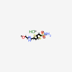 COCCNCc1cc2sc(S(N)(=O)=O)cc2s1.Cl